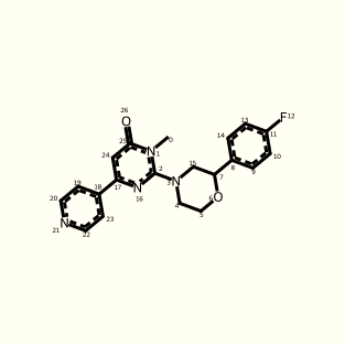 Cn1c(N2CCOC(c3ccc(F)cc3)C2)nc(-c2ccncc2)cc1=O